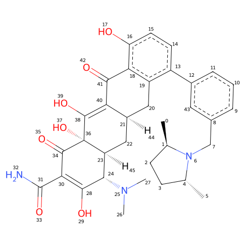 C[C@@H]1CC[C@@H](C)N1Cc1cccc(-c2ccc(O)c3c2C[C@H]2C[C@H]4[C@H](N(C)C)C(O)=C(C(N)=O)C(=O)[C@@]4(O)C(O)=C2C3=O)c1